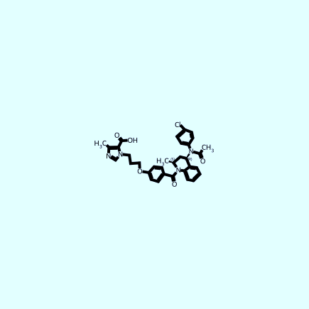 CC(=O)N(c1ccc(Cl)cc1)[C@@H]1C[C@H](C)N(C(=O)c2ccc(OCCCn3cnc(C)c3C(=O)O)cc2)c2ccccc21